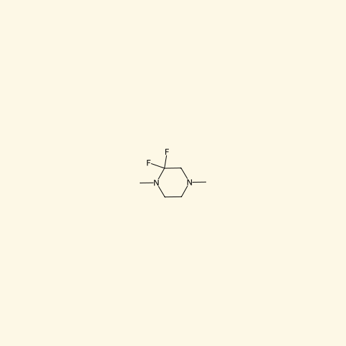 CN1CCN(C)C(F)(F)C1